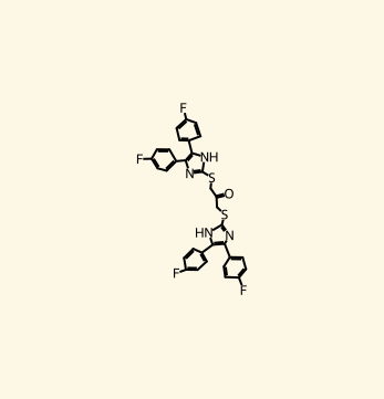 O=C(CSc1nc(-c2ccc(F)cc2)c(-c2ccc(F)cc2)[nH]1)CSc1nc(-c2ccc(F)cc2)c(-c2ccc(F)cc2)[nH]1